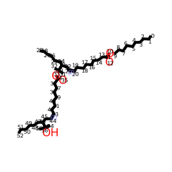 CCCCCCCCCCOC(=O)CCCCCCC/C=C\CC(CCCCCC)C(C)(C)OC(=O)CCCCCCC/C=C\CC(CCCCCC)C(C)(C)O